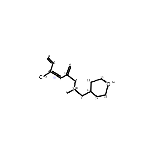 C=C/C(Cl)=C\C(=C)CN(C)CC1CCOCC1